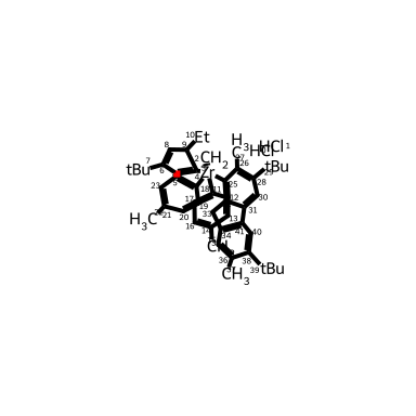 Cl.Cl.[CH2]=[Zr]([C]1=CC(C(C)(C)C)=CC1CC)([c]1ccc(C)cc1)([c]1ccc(C)cc1)[c]1c(C)c(C(C)(C)C)cc2c1Cc1cc(C)c(C(C)(C)C)cc1-2